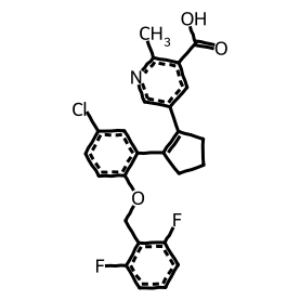 Cc1ncc(C2=C(c3cc(Cl)ccc3OCc3c(F)cccc3F)CCC2)cc1C(=O)O